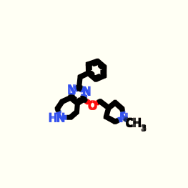 CN1CCC(COc2nc(Cc3ccccc3)nc3c2CCNCC3)CC1